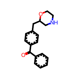 O=C(c1ccccc1)c1ccc(CC2CNCCO2)cc1